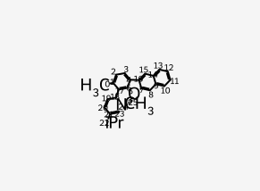 Cc1ccc2c(oc3cc4ccccc4cc32)c1-c1ccc(C(C)C)c[n+]1C